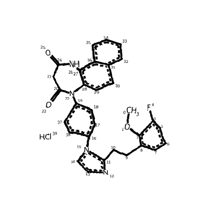 COc1c(F)cccc1CCc1nccn1-c1ccc(N2C(=O)CC(=O)Nc3c2ccc2ccccc32)cc1.Cl